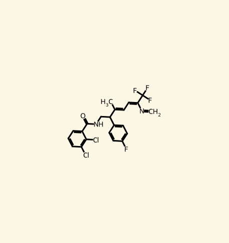 C=N/C(=C\C=C(/C)C(CNC(=O)c1cccc(Cl)c1Cl)c1ccc(F)cc1)C(F)(F)F